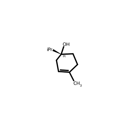 CC1=CC[C@@](O)(C(C)C)CC1